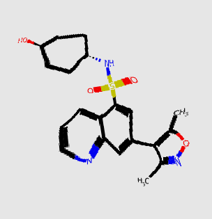 Cc1noc(C)c1-c1cc(S(=O)(=O)N[C@H]2CC[C@H](O)CC2)c2cccnc2c1